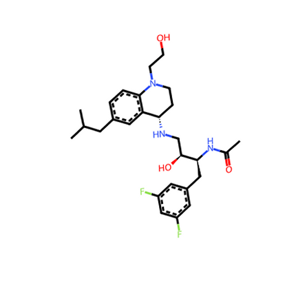 CC(=O)N[C@@H](Cc1cc(F)cc(F)c1)[C@@H](O)CN[C@H]1CCN(CCO)c2ccc(CC(C)C)cc21